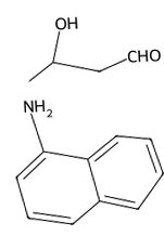 CC(O)CC=O.Nc1cccc2ccccc12